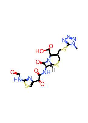 Cn1nnnc1SCC1=C(C(=O)O)N2C(=O)C(NC(=O)C(=O)c3csc(NC=O)n3)[C@@H]2SC1